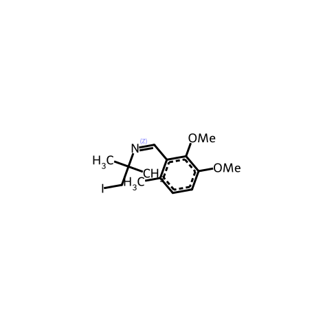 COc1ccc(C)c(/C=N\C(C)(C)CI)c1OC